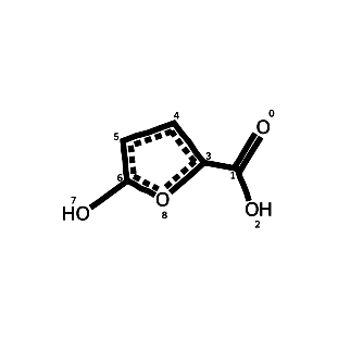 O=C(O)c1ccc(O)o1